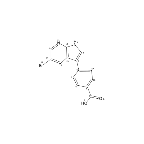 O=C(O)c1ccc(-c2c[nH]c3ncc(Br)cc23)cc1